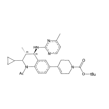 CC(=O)N1c2ccc(C3=CCN(C(=O)OC(C)(C)C)CC3)cc2[C@H](Nc2nccc(C)n2)[C@@H](C)C1C1CC1